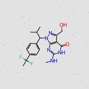 CNc1nc2c(c(CO)nn2C(c2ccc(C(C)(F)F)cc2)C(C)C)c(=O)[nH]1